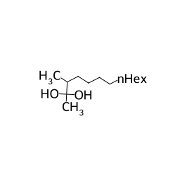 CCCCCCCCCCC(C)C(C)(O)O